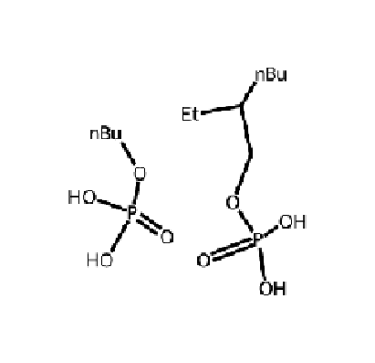 CCCCC(CC)COP(=O)(O)O.CCCCOP(=O)(O)O